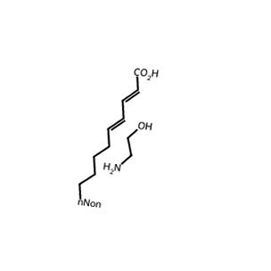 CCCCCCCCCCCCCC=CC=CC(=O)O.NCCO